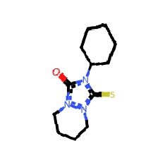 O=c1n(C2CCCCC2)c(=S)n2n1CCCC2